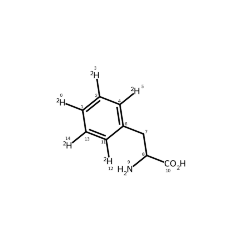 [2H]c1c([2H])c([2H])c(CC(N)C(=O)O)c([2H])c1[2H]